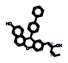 C/C=C\C(O)=C/c1ccc2c(c1)C(c1ccc(-c3ccccc3)cc1)c1c(ccc3cc(O)ccc13)O2